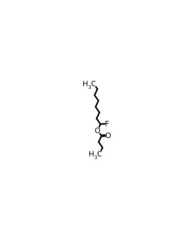 CCCCCCCC(F)OC(=O)CCC